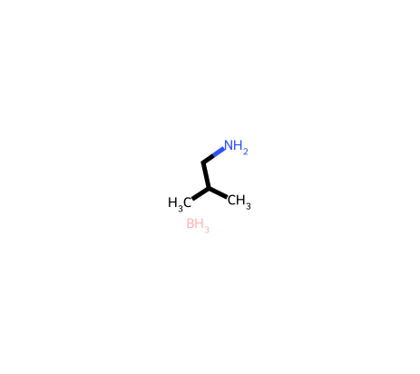 B.CC(C)CN